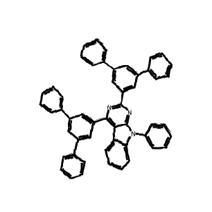 c1ccc(-c2cc(-c3ccccc3)cc(-c3nc(-c4cc(-c5ccccc5)cc(-c5ccccc5)c4)c4c5ccccc5n(-c5ccccc5)c4n3)c2)cc1